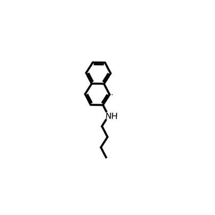 CCCCNc1[c]c2ccccc2cc1